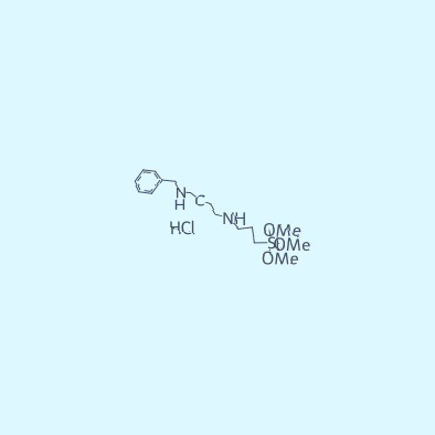 CO[Si](CCCNCCCCNCc1ccccc1)(OC)OC.Cl